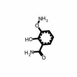 NOc1cccc(C(N)=O)c1O